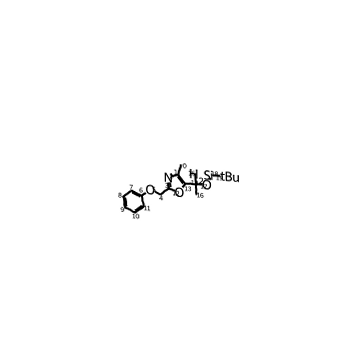 Cc1nc(COc2ccccc2)oc1C(C)(C)O[SiH2]C(C)(C)C